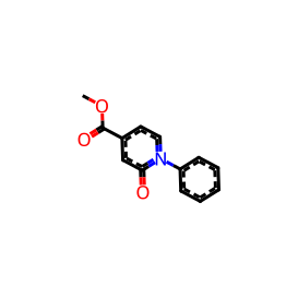 COC(=O)c1ccn(-c2ccccc2)c(=O)c1